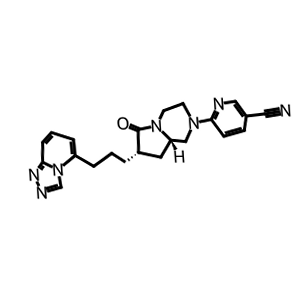 N#Cc1ccc(N2CCN3C(=O)[C@@H](CCCc4cccc5nncn45)C[C@H]3C2)nc1